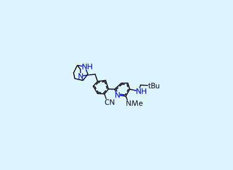 CNc1nc(-c2cc(CN3CC4CCC3CN4)ccc2C#N)ccc1NCC(C)(C)C